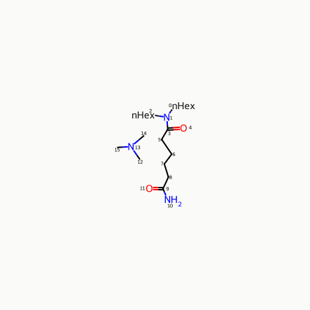 CCCCCCN(CCCCCC)C(=O)CCCCC(N)=O.CN(C)C